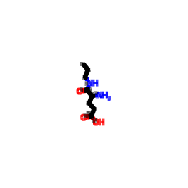 CCCNC(=O)C(N)CCC(=O)O